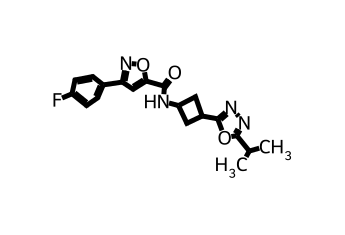 CC(C)c1nnc(C2CC(NC(=O)c3cc(-c4ccc(F)cc4)no3)C2)o1